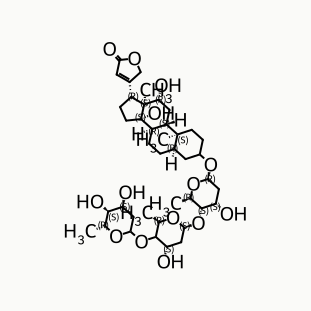 C[C@H]1O[C@@H](O[C@H]2[C@@H](O)C[C@H](OC3CC[C@@]4(C)[C@H](CC[C@@H]5[C@@H]4C[C@@H](O)[C@]4(C)[C@@H](C6=CC(=O)OC6)CC[C@]54O)C3)O[C@@H]2C)C[C@H](O)C1OC1C[C@H](O)[C@H](O)[C@@H](C)O1